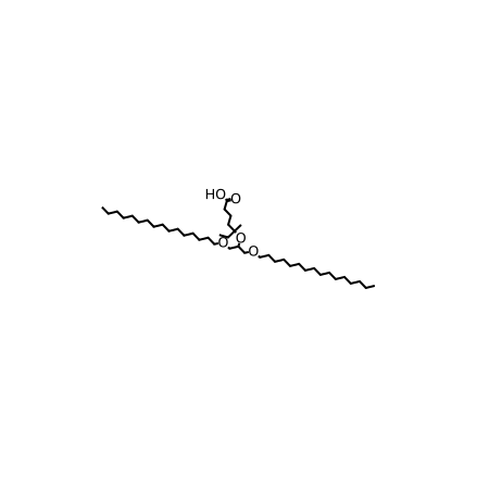 CCCCCCCCCCCCCCCCOCC(COCCCCCCCCCCCCCCCC)OC(C)(CC)CCCC(=O)O